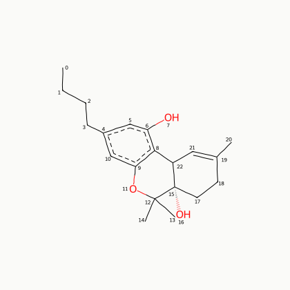 CCCCc1cc(O)c2c(c1)OC(C)(C)[C@]1(O)CCC(C)=CC21